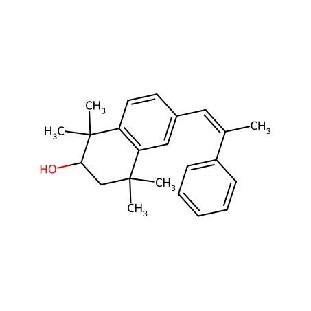 CC(=Cc1ccc2c(c1)C(C)(C)CC(O)C2(C)C)c1ccccc1